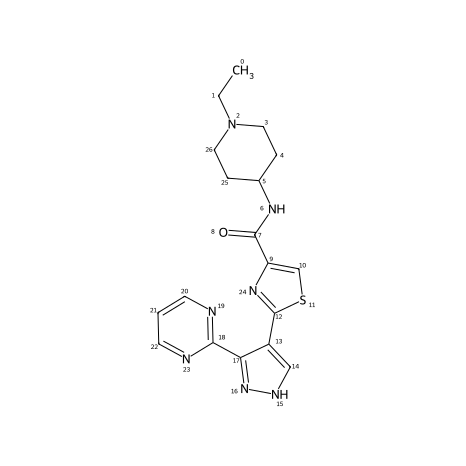 CCN1CCC(NC(=O)c2csc(-c3c[nH]nc3-c3ncccn3)n2)CC1